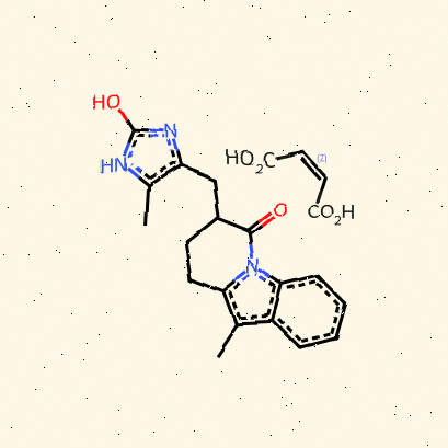 Cc1[nH]c(O)nc1CC1CCc2c(C)c3ccccc3n2C1=O.O=C(O)/C=C\C(=O)O